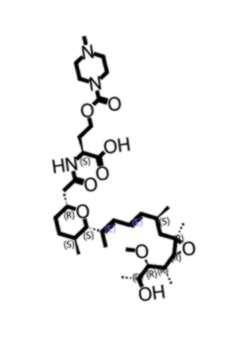 CO[C@H]([C@@H](C)[C@H]1O[C@]1(C)C[C@H](C)/C=C/C=C(\C)[C@H]1O[C@@H](CC(=O)N[C@@H](CCOC(=O)N2CCN(C)CC2)C(=O)O)CC[C@@H]1C)[C@@H](C)O